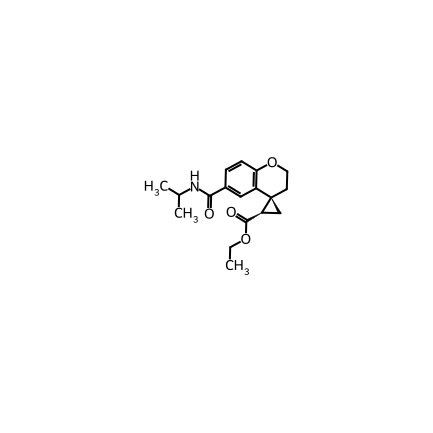 CCOC(=O)[C@@H]1C[C@@]12CCOc1ccc(C(=O)NC(C)C)cc12